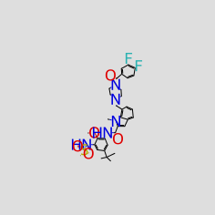 COc1c(NC(=O)c2cc3cccc(CN4CCN(C(=O)c5ccc(F)c(F)c5)CC4)c3n2C)cc(C(C)(C)C)cc1NS(C)(=O)=O